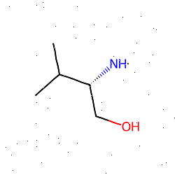 CC(C)[C@H]([NH])CO